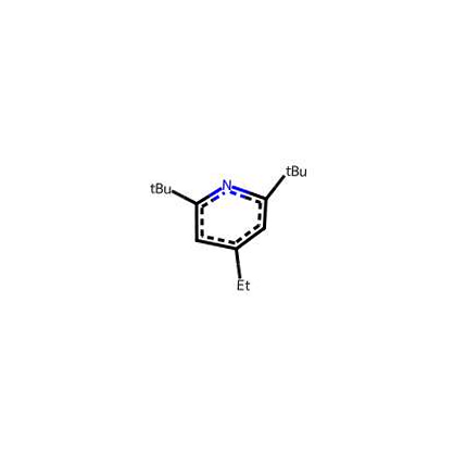 CCc1cc(C(C)(C)C)nc(C(C)(C)C)c1